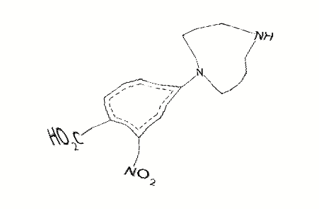 O=C(O)c1ccc(N2CCNCC2)cc1[N+](=O)[O-]